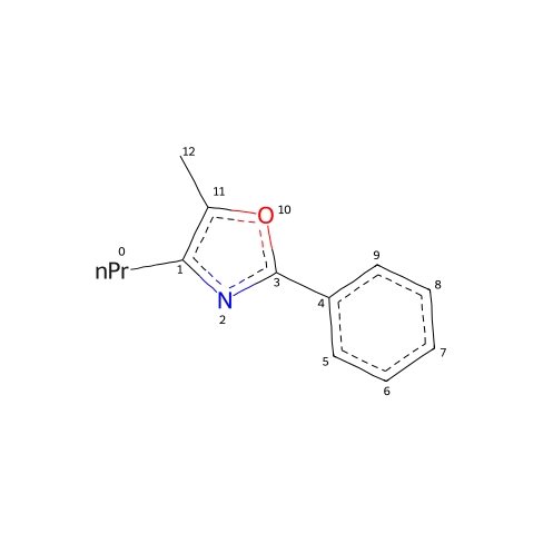 CCCc1nc(-c2ccccc2)oc1C